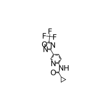 O=C(Nc1ccc(-c2noc(C(F)(F)F)n2)cn1)C1CC1